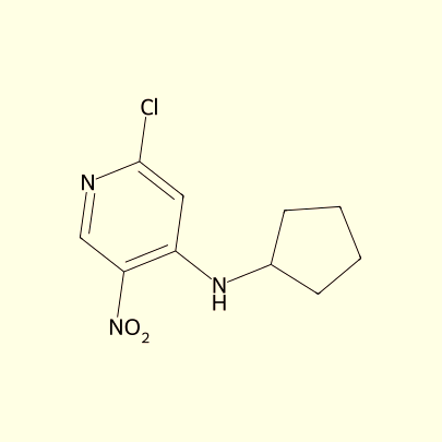 O=[N+]([O-])c1cnc(Cl)cc1NC1CCCC1